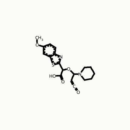 COc1ccc2nc(C(OC(C=C=O)N3CCCCC3)C(=O)O)sc2c1